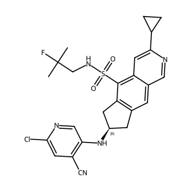 CC(C)(F)CNS(=O)(=O)c1c2c(cc3cnc(C4CC4)cc13)C[C@@H](Nc1cnc(Cl)cc1C#N)C2